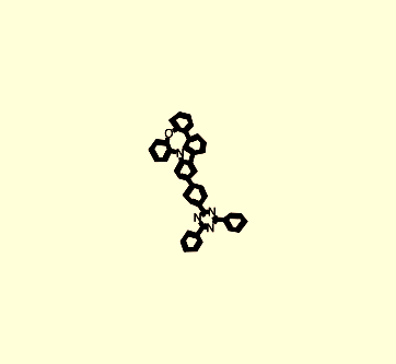 c1ccc(-c2nc(-c3ccccc3)nc(-c3ccc(-c4ccc5c(c4)c4cccc6c7ccccc7oc7ccccc7n5c64)cc3)n2)cc1